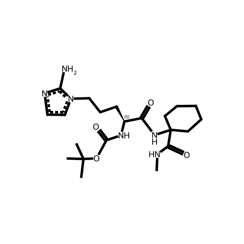 CNC(=O)C1(NC(=O)[C@H](CCCn2ccnc2N)NC(=O)OC(C)(C)C)CCCCC1